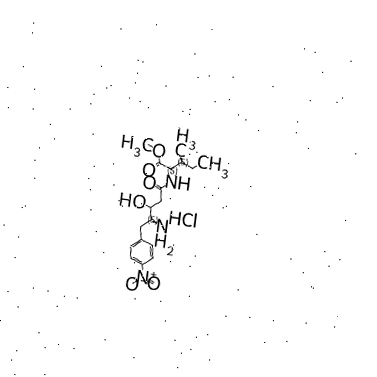 CC[C@H](C)[C@H](NC(=O)CC(O)[C@@H](N)Cc1ccc([N+](=O)[O-])cc1)C(=O)OC.Cl